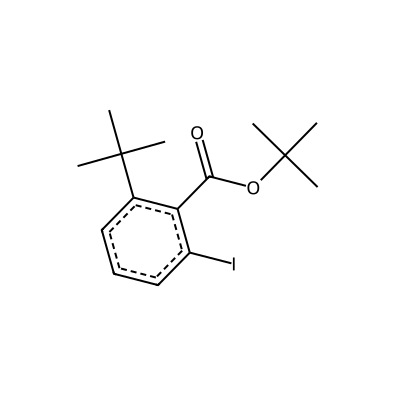 CC(C)(C)OC(=O)c1c(I)cccc1C(C)(C)C